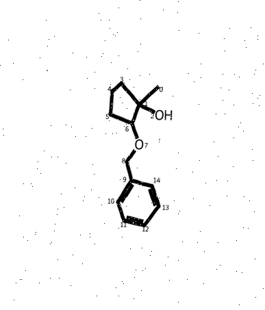 CC1(O)CCCC1OCc1ccccc1